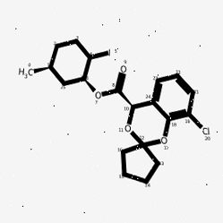 C[C@H]1CCC(I)[C@@H](OC(=O)[C@@H]2OC3(CCCC3)Oc3c(Cl)cccc32)C1